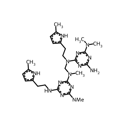 CNc1nc(NCCc2ccc(C)[nH]2)nc(N(C)CN(CCc2ccc(C)[nH]2)c2nc(N)nc(N(C)C)n2)n1